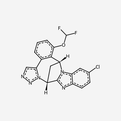 FC(F)Oc1cccc2c1[C@H]1C[C@H](c3nc4ccc(Cl)cc4n31)n1nncc1-2